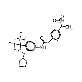 CC(c1ccc(CC(=O)Nc2ccc(C(OCC3CCCC3)(C(F)(F)F)C(F)(F)F)cc2)cc1)[SH](=O)=O